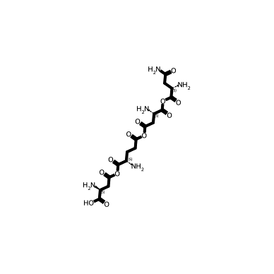 NC(=O)C[C@H](N)C(=O)OC(=O)[C@@H](N)CC(=O)OC(=O)CC[C@H](N)C(=O)OC(=O)C[C@H](N)C(=O)O